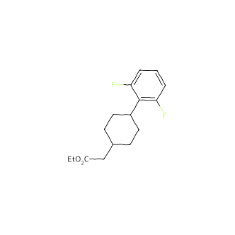 CCOC(=O)CC1CCC(c2c(F)cccc2F)CC1